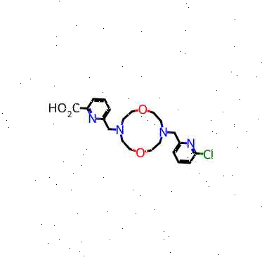 O=C(O)c1cccc(CN2CCOCCN(Cc3cccc(Cl)n3)CCOCC2)n1